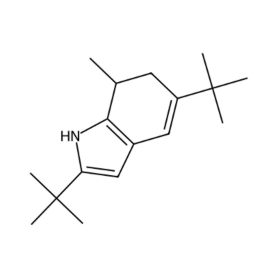 CC1CC(C(C)(C)C)=Cc2cc(C(C)(C)C)[nH]c21